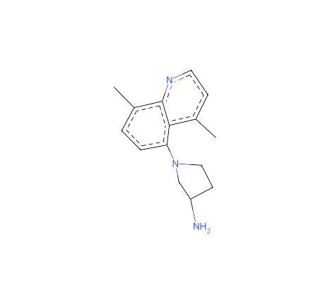 Cc1ccc(N2CCC(N)C2)c2c(C)ccnc12